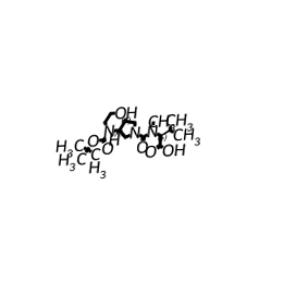 CC(C)[C@@H](C(=O)O)N(C)C(=O)N1C[C@@H]2OCCN(C(=O)OC(C)(C)C)[C@@H]2C1